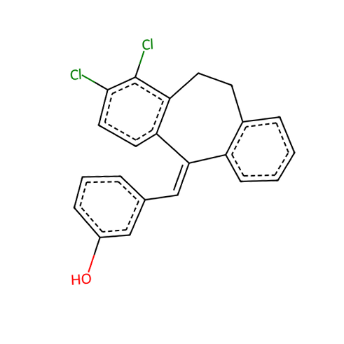 Oc1cccc(C=C2c3ccccc3CCc3c2ccc(Cl)c3Cl)c1